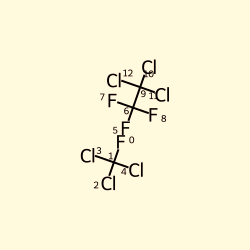 FC(Cl)(Cl)Cl.FC(F)(F)C(Cl)(Cl)Cl